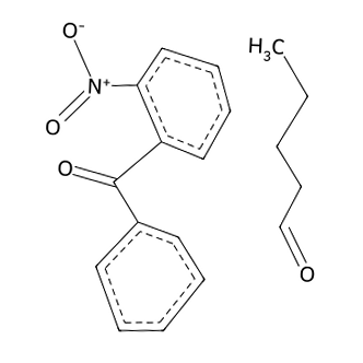 CCCCC=O.O=C(c1ccccc1)c1ccccc1[N+](=O)[O-]